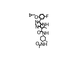 CC(=O)N[C@@H]1CC[C@@H](NC(=O)c2c(C)[nH]c3c(-c4cc(F)ccc4OCC4CC4)ncnc23)C[C@H]1C